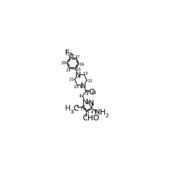 Cc1c(C=O)c(N)nn1CC(=O)N1CCN(c2ccc(F)cc2)CC1